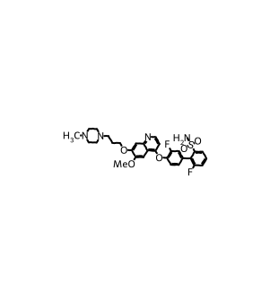 COc1cc2c(Oc3ccc(-c4c(F)cccc4S(N)(=O)=O)cc3F)ccnc2cc1OCCCN1CCN(C)CC1